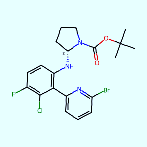 CC(C)(C)OC(=O)N1CCC[C@H]1Nc1ccc(F)c(Cl)c1-c1cccc(Br)n1